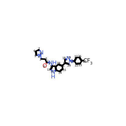 O=C(CCn1cccn1)Nc1c[nH]c2ccc(-c3cnn(-c4ccc(C(F)(F)F)cc4)c3)cc12